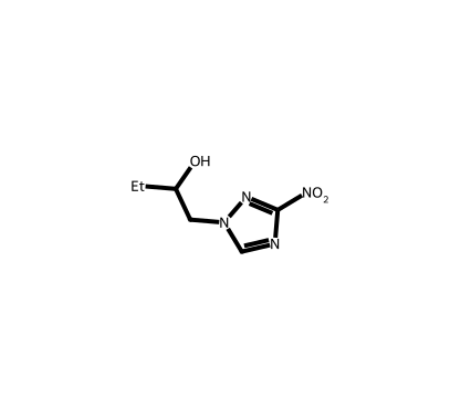 CCC(O)Cn1cnc([N+](=O)[O-])n1